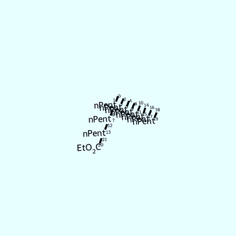 CCCCCC.CCCCCC.CCCCCC.CCCCCC.CCCCCC.CCCCCC.CCCCCC.CCCCCC.CCCCCC.CCCCCC.CCOC(C)=O